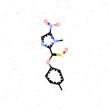 Cc1ccc(OC(=S=O)c2ncc([N+](=O)[O-])n2C)cc1